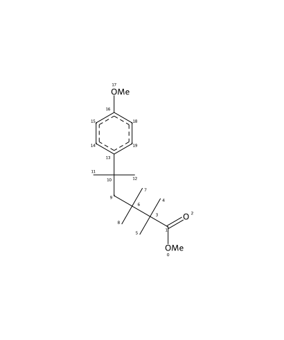 COC(=O)C(C)(C)C(C)(C)CC(C)(C)c1ccc(OC)cc1